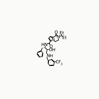 CCC(CC)N1CCn2c(C(=O)N[C@@H](Cc3ccccc3)[C@@H](O)CNCc3cccc(C(F)(F)F)c3)ccc2C1=O